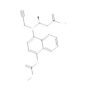 C#CCN(c1ccc(NC(=O)OC(C)(C)C)c2ccccc12)[C@@H](C)CC(=O)OC